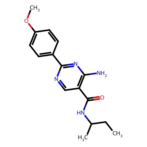 CCC(C)NC(=O)c1cnc(-c2ccc(OC)cc2)nc1N